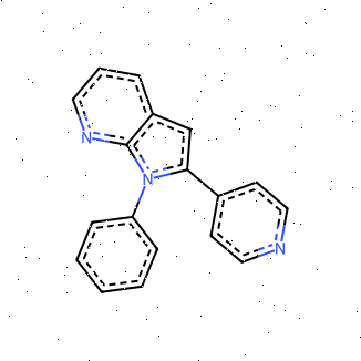 c1ccc(-n2c(-c3ccncc3)cc3cccnc32)cc1